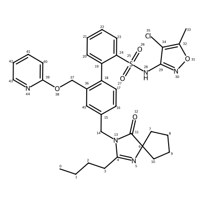 CCCCC1=NC2(CCCC2)C(=O)N1Cc1ccc(-c2ccccc2S(=O)(=O)Nc2noc(C)c2Cl)c(COc2ccccn2)c1